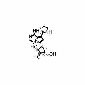 C[C@@]1(O)[C@H](O)[C@@H](CO)O[C@H]1c1cc(C2=NCCN2)c2c(N)ncnn12